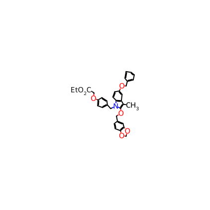 CCOC(=O)COc1ccc(Cn2c(OCc3ccc4c(c3)OCO4)c(C)c3cc(OCc4ccccc4)ccc32)cc1